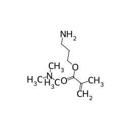 C=C(C)C(=O)OCCCN.CN(C)C